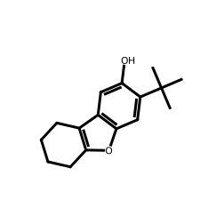 CC(C)(C)c1cc2oc3c(c2cc1O)CCCC3